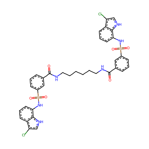 O=C(NCCCCCCNC(=O)c1cccc(S(=O)(=O)Nc2cccc3c(Cl)c[nH]c23)c1)c1cccc(S(=O)(=O)Nc2cccc3c(Cl)c[nH]c23)c1